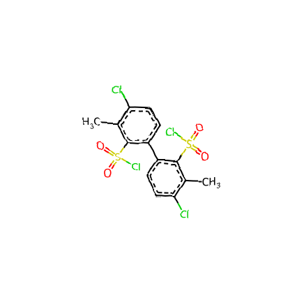 Cc1c(Cl)ccc(-c2ccc(Cl)c(C)c2S(=O)(=O)Cl)c1S(=O)(=O)Cl